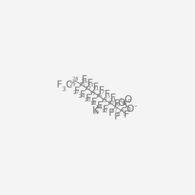 O=S(=O)([O-])C(F)(F)C(F)(F)C(F)(F)C(F)(F)C(F)(F)C(F)(F)C(F)(F)C(F)(F)CC(F)(F)F.[K+]